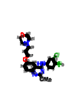 COc1nc(Nc2ccc(F)c(Cl)c2)c2cc(OCCCN3CCOCC3)ccc2n1